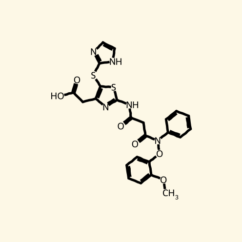 COc1ccccc1ON(C(=O)CC(=O)Nc1nc(CC(=O)O)c(Sc2ncc[nH]2)s1)c1ccccc1